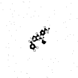 CNC(=O)c1ccc(N2C(=O)C3C[C@@H](C)N(C(=O)c4ccc(Cl)c(Cl)c4)CC3N=C2N(C)C23CC(C2)C3)cc1